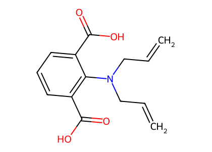 C=CCN(CC=C)c1c(C(=O)O)cccc1C(=O)O